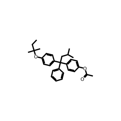 CCC(C)(C)Oc1ccc(C(CC(C)C)(c2ccccc2)c2ccc(OC(C)=O)cc2)cc1